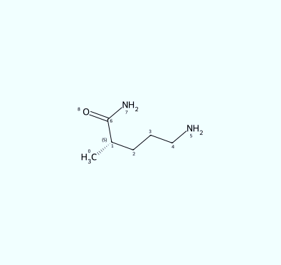 C[C@@H](CCCN)C(N)=O